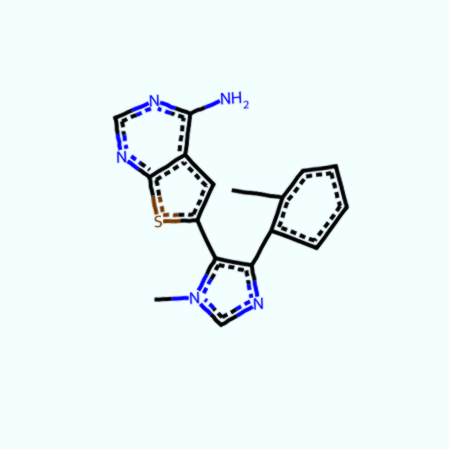 Cc1ccccc1-c1ncn(C)c1-c1cc2c(N)ncnc2s1